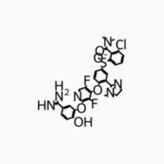 CN(C)C(=O)c1c(Cl)cccc1[S+]([O-])c1ccc(Oc2c(F)cnc(Oc3cc(C(=N)N)ccc3O)c2F)c(C2N=CCN2C)c1